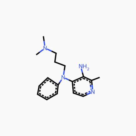 Cc1nccc(N(CCCN(C)C)c2ccccc2)c1N